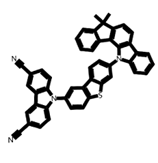 CC1(C)c2ccccc2-c2c1ccc1c3ccccc3n(-c3ccc4c(c3)sc3ccc(-n5c6ccc(C#N)cc6c6cc(C#N)ccc65)cc34)c21